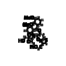 CCOC(=O)c1csc(C[C@H]2O[C@H](c3cccc(OC)c3OC)c3cc(Cl)ccc3N(CC(C)(C)CO)C2=O)n1